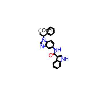 O=C(O)CC(c1ccccc1)n1cnc2cc(NC(=O)c3c[nH]c4ccccc34)ccc21